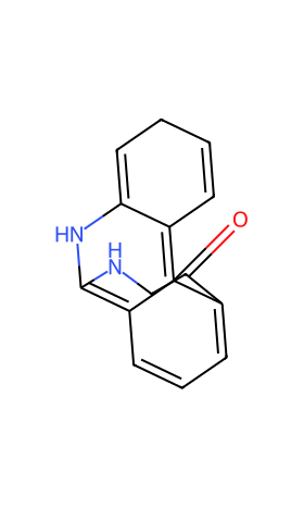 O=C1CNC2=c3cccc1c3=C1C=CCC=C1N2